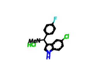 CNC(c1ccc(F)cc1)c1c[nH]c2ccc(Cl)cc12.Cl